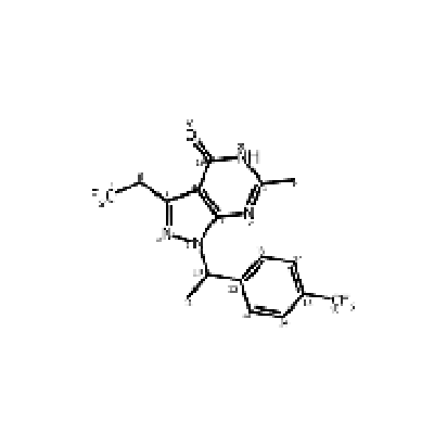 Cc1nc2c(c(CC(F)(F)F)nn2C(C)c2ccc(C(F)(F)F)cc2)c(=O)[nH]1